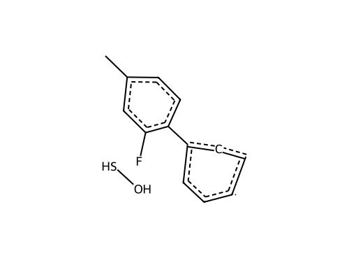 Cc1ccc(-c2cc[c]cc2)c(F)c1.OS